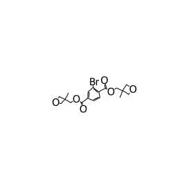 CC1(COC(=O)c2ccc(C(=O)OCC3(C)COC3)c(Br)c2)COC1